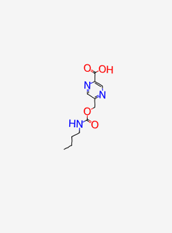 CCCCNC(=O)OCc1cnc(C(=O)O)cn1